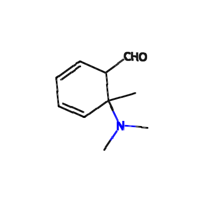 CN(C)C1(C)C=CC=CC1C=O